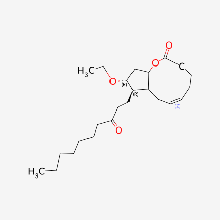 CCCCCCCC(=O)CC[C@@H]1C2C/C=C\CCCC(=O)OC2C[C@H]1OCC